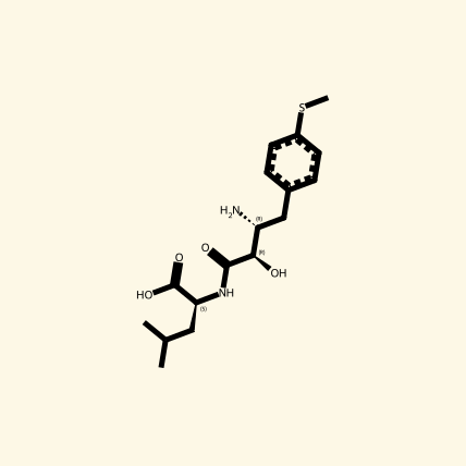 CSc1ccc(C[C@@H](N)[C@@H](O)C(=O)N[C@@H](CC(C)C)C(=O)O)cc1